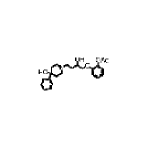 CC(=O)Oc1ccccc1OCC(O)CCN1CCC(O)(c2ccccc2)CC1